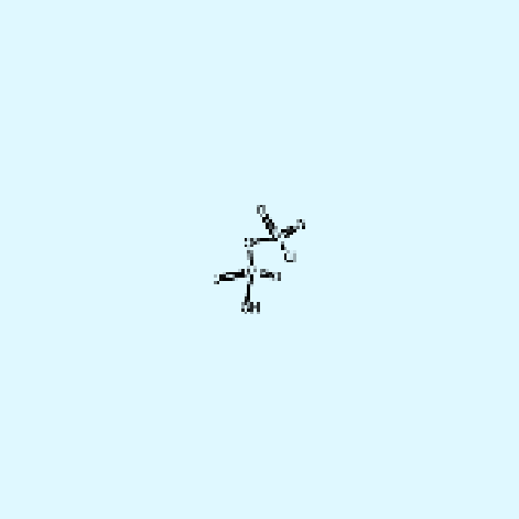 [O]=[Mo](=[O])([OH])[O][Mo](=[O])(=[O])[OH]